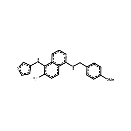 COc1ccc(CNc2nccc3c(Nc4ccsc4)c(C)ccc23)cc1